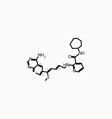 C=c1ncnc(N)/c1=C/C(=C\C)C(=C/C=C/CNc1ncccc1C(=O)NC1CCCCCC1)/SC